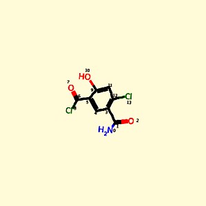 NC(=O)c1cc(C(=O)Cl)c(O)cc1Cl